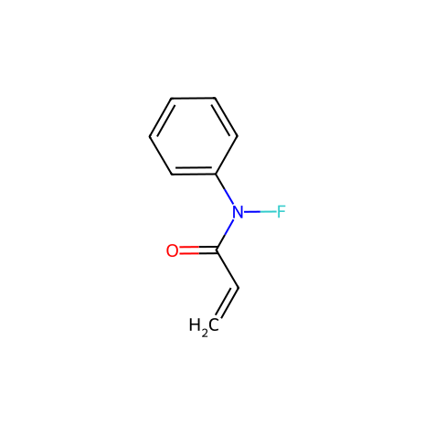 C=CC(=O)N(F)c1ccccc1